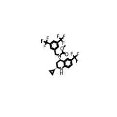 COC(=O)N(Cc1cc(C(F)(F)F)cc(C(F)(F)F)c1)[C@H]1C[C@@H](C2CC2)Nc2ccc(C(F)(F)F)cc21